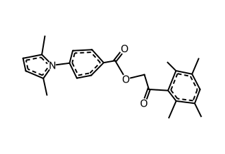 Cc1cc(C)c(C)c(C(=O)COC(=O)c2ccc(-n3c(C)ccc3C)cc2)c1C